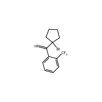 N=C(c1ccccc1C(F)(F)F)C1(Br)CCCC1